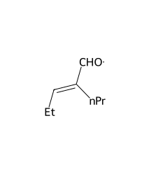 CC/C=C(/[C]=O)CCC